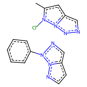 Cc1cc2cnnn2n1Cl.c1ccc(-n2ncc3ccnn32)cc1